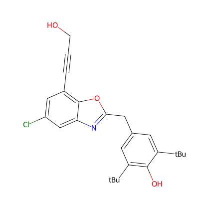 CC(C)(C)c1cc(Cc2nc3cc(Cl)cc(C#CCO)c3o2)cc(C(C)(C)C)c1O